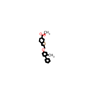 COC(=O)C1=Cc2sc(COc3ccc(-c4ccccc4)c(C)c3)cc2CC1